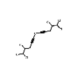 ClC(Cl)C(Cl)CC#COC#CCC(Cl)C(Cl)Cl